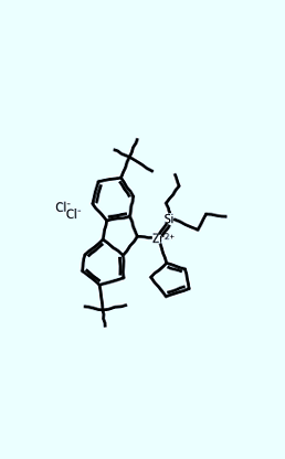 CCC[Si](CCC)=[Zr+2]([C]1=CC=CC1)[CH]1c2cc(C(C)(C)C)ccc2-c2ccc(C(C)(C)C)cc21.[Cl-].[Cl-]